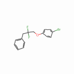 FC(F)(COc1ccc(Br)cc1)Cc1ccccc1